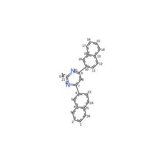 [Ir].c1ccc2cc(-c3cc(-c4ccc5ccccc5c4)ncn3)ccc2c1